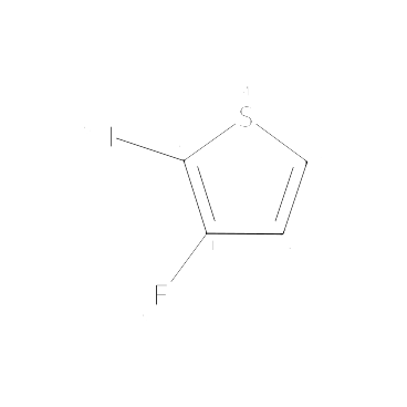 Fc1ccsc1I